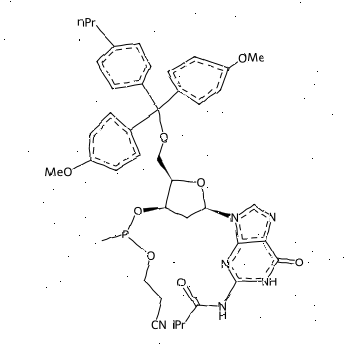 CCCc1ccc(C(OC[C@H]2O[C@@H](n3cnc4c(=O)[nH]c(NC(=O)C(C)C)nc43)C[C@H]2OP(C)OCCC#N)(c2ccc(OC)cc2)c2ccc(OC)cc2)cc1